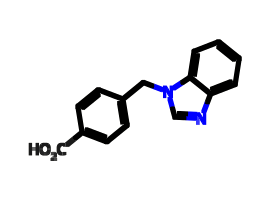 O=C(O)c1ccc(Cn2cnc3ccccc32)cc1